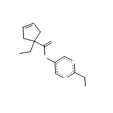 CCC1(C(=O)Oc2cnc(CO)nc2)CC=CC1